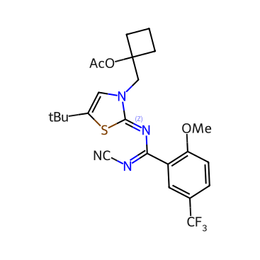 COc1ccc(C(F)(F)F)cc1C(=NC#N)/N=c1\sc(C(C)(C)C)cn1CC1(OC(C)=O)CCC1